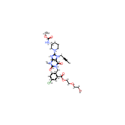 CC#CCn1c(N2CCC[C@@H](NC(=O)OC(C)(C)C)C2)nc2c1c(=O)n(Cc1ccc(Cl)cc1C(=O)OCCOCCBr)c(=O)n2C